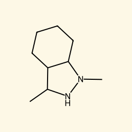 CC1NN(C)C2CCCCC12